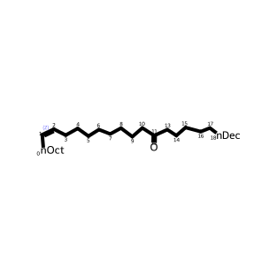 CCCCCCCC/C=C\CCCCCCCCC(=O)CCCCCCCCCCCCCCC